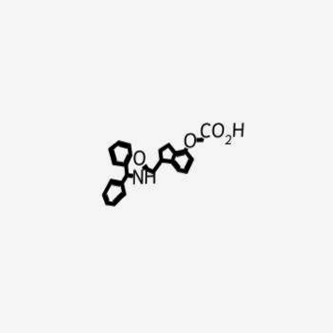 O=C(O)COc1cccc2c1CCC2CC(=O)NC(c1ccccc1)c1ccccc1